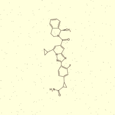 C[C@@H]1c2ccccc2CCN1C(=O)c1cc(C2CC2)n2nc(-c3ccc(C4CC4C(N)=O)cc3F)nc2c1